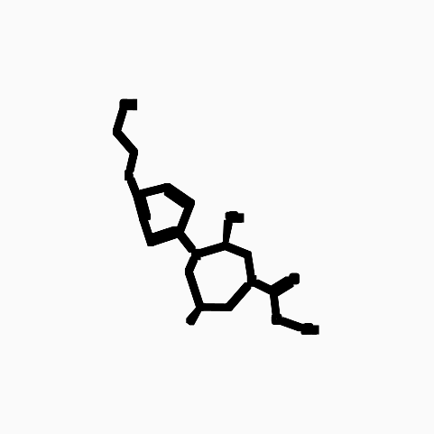 C[C@@H]1CN(C(=O)OC(C)(C)C)C[C@H](C(C)(C)C)N(c2ccc(SCCO)cc2)C1